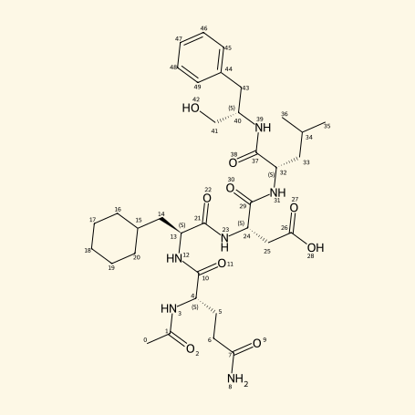 CC(=O)N[C@@H](CCC(N)=O)C(=O)N[C@@H](CC1CCCCC1)C(=O)N[C@@H](CC(=O)O)C(=O)N[C@@H](CC(C)C)C(=O)N[C@H](CO)Cc1ccccc1